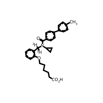 [2H]C([2H])(c1ccccc1OCCCCCC(=O)O)N(C(=O)c1ccc(-c2ccc(C)cc2)cc1)C1CC1